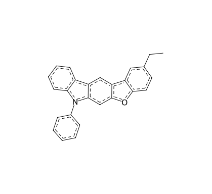 CCc1ccc2oc3cc4c(cc3c2c1)c1ccccc1n4-c1ccccc1